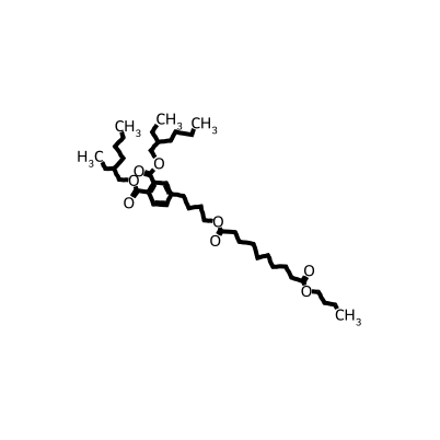 CCCCOC(=O)CCCCCCCCC(=O)OCCCCc1ccc(C(=O)OCC(CC)CCCC)c(C(=O)OCC(CC)CCCC)c1